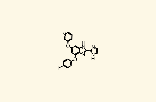 Fc1ccc(Oc2cc(Oc3cccnc3)cc3[nH]c(-c4ncc[nH]4)nc23)cc1